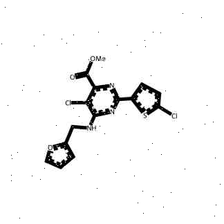 COC(=O)c1nc(-c2ccc(Cl)s2)nc(NCc2ccco2)c1Cl